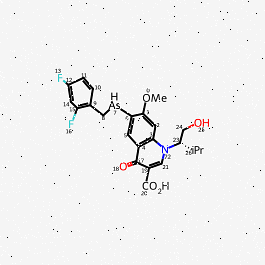 COc1cc2c(cc1[AsH]Cc1ccc(F)cc1F)c(=O)c(C(=O)O)cn2[C@H](CO)C(C)C